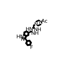 CC(=O)N1CCN(CC(=N)NC(=N)c2ccc3[nH]nc(-c4ccc(F)cc4)c3c2)CC1